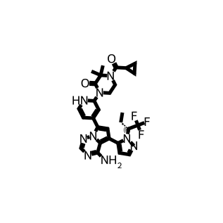 CC[C@@H](n1nccc1-c1cc(C2=CC(N3CCN(C(=O)C4CC4)C(C)(C)C3=O)NC=C2)n2ncnc(N)c12)C(F)(F)F